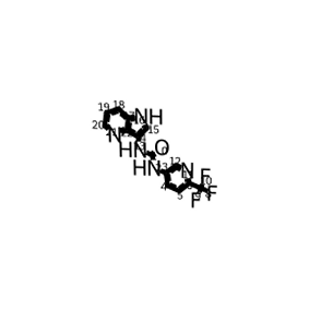 O=C(Nc1ccc(C(F)(F)F)nc1)Nc1c[nH]c2cccnc12